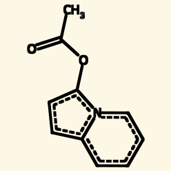 CC(=O)Oc1ccc2ccccn12